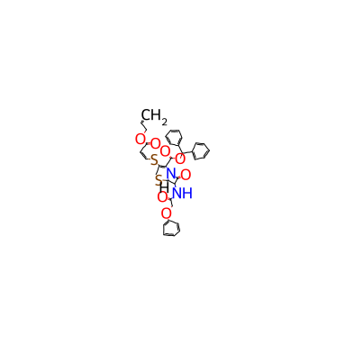 C=CCOC(=O)/C=C\SC1=C(C(=O)OC(c2ccccc2)c2ccccc2)N2C(=O)[C@@H](NC(=O)COc3ccccc3)[C@@H]2SC1